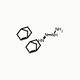 C1=C2CCC(C1)C2.C1=C2CCC(C1)C2.N=NNN